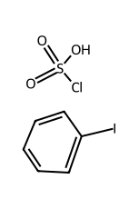 Ic1ccccc1.O=S(=O)(O)Cl